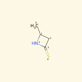 CC1CC(=S)N1